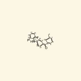 Cc1cccc(C(=O)c2ccc(Nc3c(F)cccc3F)nc2)c1